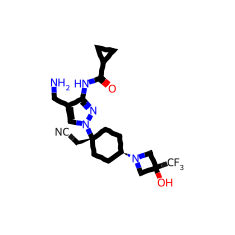 N#CC[C@]1(n2cc(CN)c(NC(=O)C3CC3)n2)CC[C@@H](N2CC(O)(C(F)(F)F)C2)CC1